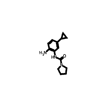 Nc1ccc(C2CC2)cc1NC(=O)N1CCCC1